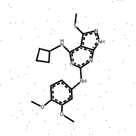 COc1ccc(Nc2nc(NC3CCC3)c3c(SC)n[nH]c3n2)cc1OC